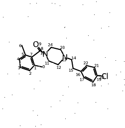 Cc1cccc(C)c1C(=O)N1CCN(CCc2ccc(Cl)cc2)CC1